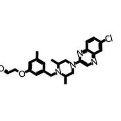 Cc1cc(CN2C(C)CN(c3cnc4cc(Cl)ccc4n3)CC2C)cc(OCC=O)c1